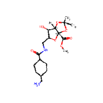 COC(=O)[C@@]12OC(CNC(=O)C3CCC(CN)CC3)C(O)[C@@H]1OC(C)(C)O2